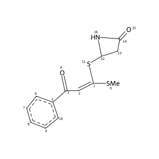 CS/C(=C/C(=O)c1ccccc1)SC1CC(=O)N1